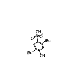 CCC(C)c1cc(S(C)(=O)=O)c(C(C)CC)cc1C#N